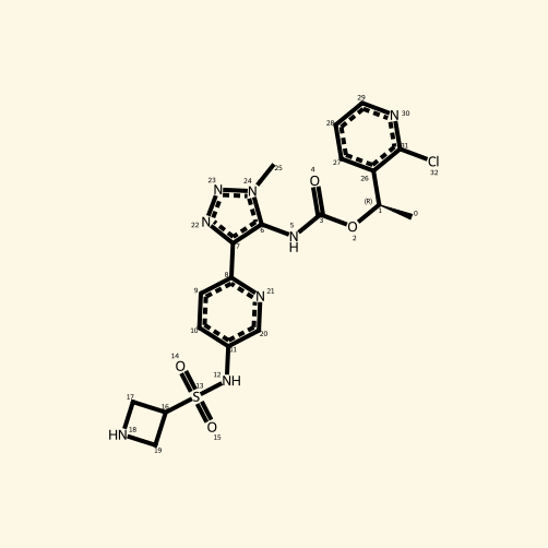 C[C@@H](OC(=O)Nc1c(-c2ccc(NS(=O)(=O)C3CNC3)cn2)nnn1C)c1cccnc1Cl